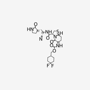 N#C[C@H](C[C@@H]1CCNC1=O)NC(=O)C1CS[C@H]2CC[C@H](NC(=O)OCC3CCC(F)(F)CC3)C(=O)N12